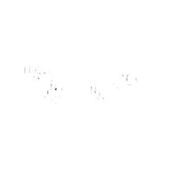 CS(=O)(=O)C1CC(=O)N(OC(=O)CCCCCNC(=O)CCSSc2ccccn2)C1=O